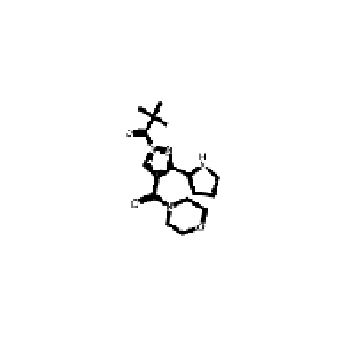 CC(C)(C)C(=O)n1cc(C(=O)N2CCOCC2)c(C2CCCN2)n1